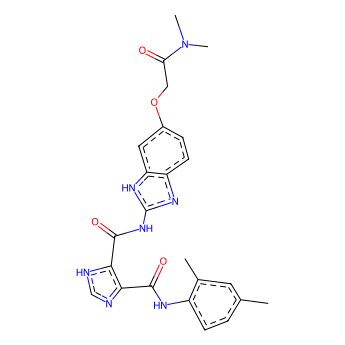 Cc1ccc(NC(=O)c2nc[nH]c2C(=O)Nc2nc3ccc(OCC(=O)N(C)C)cc3[nH]2)c(C)c1